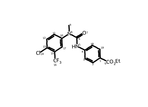 CCOC(=O)c1ccc(NC(=O)N(C)c2ccc(Cl)c(C(F)(F)F)c2)cc1